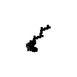 CC(=N)NC(CSCC=C(C)CCC=C(C)CCC=C(C)CCC=C(C)C)C1=COC=CN1